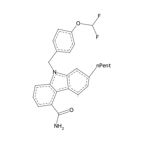 CCCCCc1c[c]c2c3c(C(N)=O)cccc3n(Cc3ccc(OC(F)F)cc3)c2c1